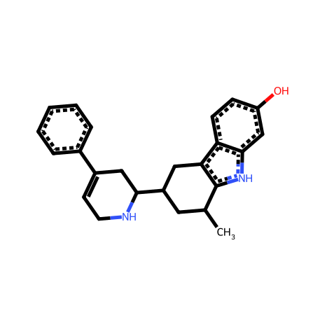 CC1CC(C2CC(c3ccccc3)=CCN2)Cc2c1[nH]c1cc(O)ccc21